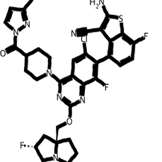 Cc1ccn(C(=O)C2CCN(c3nc(OC[C@@]45CCCN4C[C@H](F)C5)nc4c(F)c(-c5ccc(F)c6sc(N)c(C#N)c56)c(Cl)cc34)CC2)n1